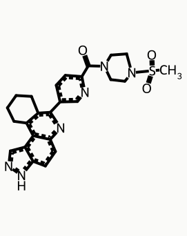 CS(=O)(=O)N1CCN(C(=O)c2ccc(-c3nc4ccc5[nH]ncc5c4c4c3CCCC4)cn2)CC1